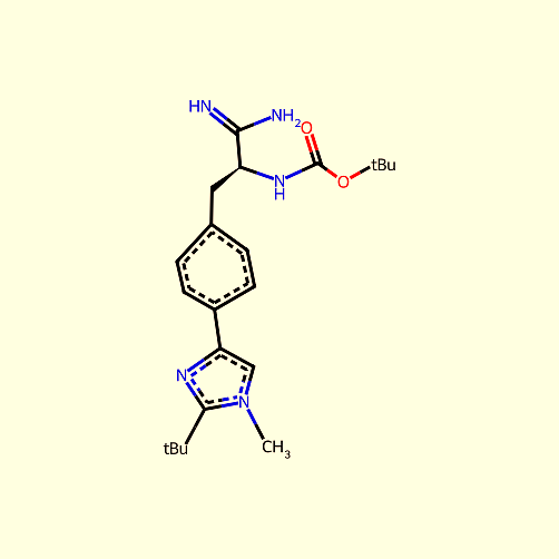 Cn1cc(-c2ccc(C[C@H](NC(=O)OC(C)(C)C)C(=N)N)cc2)nc1C(C)(C)C